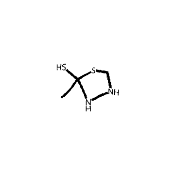 CC1(S)NNCS1